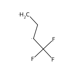 [CH2]C[CH]C(F)(F)F